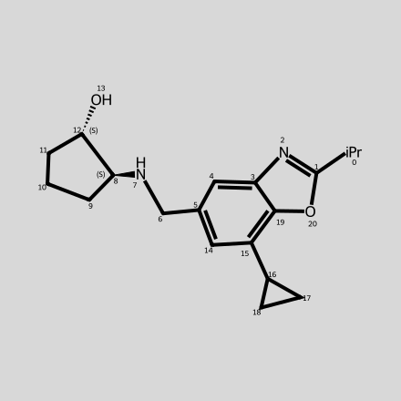 CC(C)c1nc2cc(CN[C@H]3CCC[C@@H]3O)cc(C3CC3)c2o1